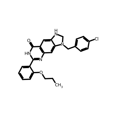 CCCOc1ccccc1-c1nc2cc3c(cc2c(=O)[nH]1)NCN3Cc1ccc(Cl)cc1